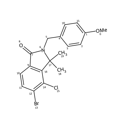 COc1ccc(CN2C(=O)c3ccc(Br)c(Cl)c3C2(C)C)cc1